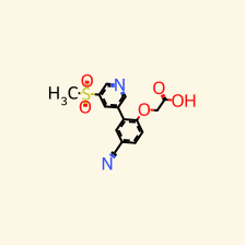 CS(=O)(=O)c1cncc(-c2cc(C#N)ccc2OCC(=O)O)c1